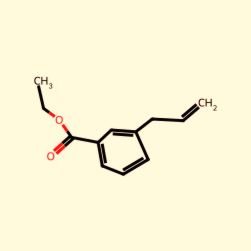 C=CCc1cccc(C(=O)OCC)c1